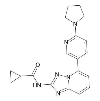 O=C(Nc1nc2cccc(-c3ccc(N4CCCC4)nc3)n2n1)C1CC1